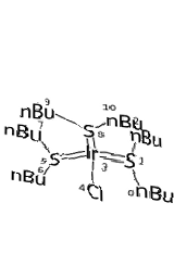 CCCC[S](CCCC)=[Ir]([Cl])(=[S](CCCC)CCCC)=[S](CCCC)CCCC